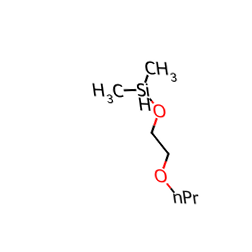 CCCOCCO[SiH](C)C